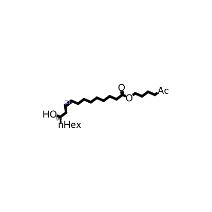 CCCCCC[C@@H](O)C/C=C\CCCCCCCC(=O)OCCCCC(C)=O